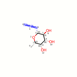 C[C@@H]1O[C@H](N=[N+]=[N-])[C@@H](O)[C@H](O)[C@@H]1O